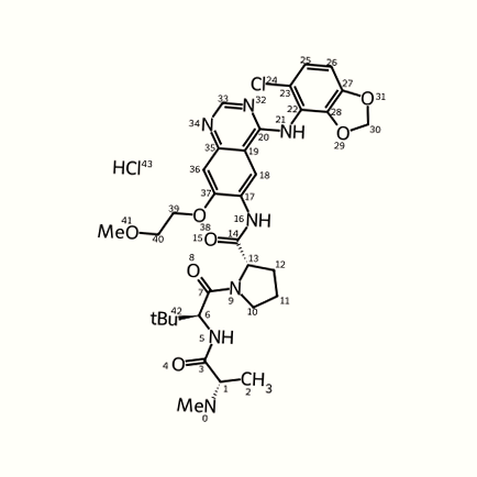 CN[C@@H](C)C(=O)N[C@H](C(=O)N1CCC[C@H]1C(=O)Nc1cc2c(Nc3c(Cl)ccc4c3OCO4)ncnc2cc1OCCOC)C(C)(C)C.Cl